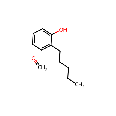 C=O.CCCCCc1ccccc1O